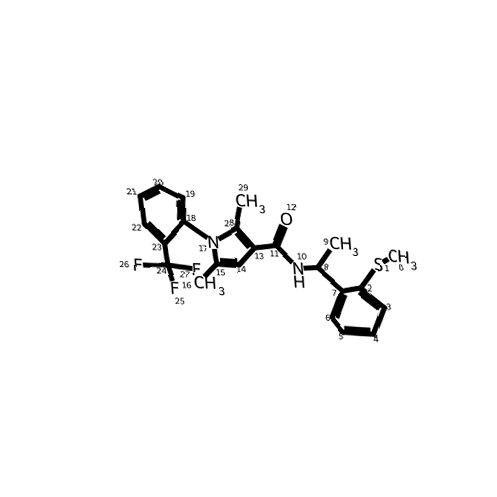 CSc1ccccc1C(C)NC(=O)c1cc(C)n(-c2ccccc2C(F)(F)F)c1C